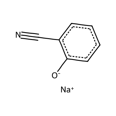 N#Cc1ccccc1[O-].[Na+]